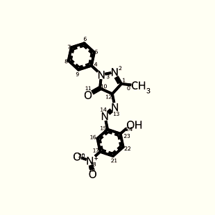 CC1=NN(c2ccccc2)C(=O)C1N=Nc1cc([N+](=O)[O-])ccc1O